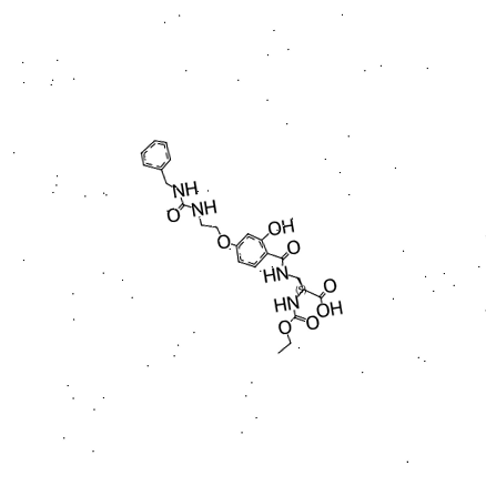 CCOC(=O)N[C@@H](CNC(=O)c1ccc(OCCNC(=O)NCc2ccccc2)cc1O)C(=O)O